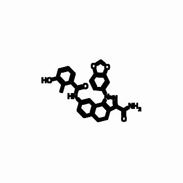 Cc1c(O)cccc1C(=O)Nc1ccc2c(c1)-c1c(c(C(N)=O)nn1-c1ccc3c(c1)OCO3)CC2